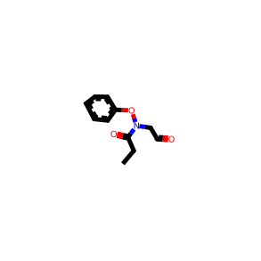 CCC(=O)N(C[C]=O)Oc1ccccc1